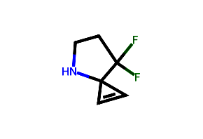 FC1(F)CCNC12C=C2